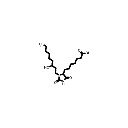 CCCCCCC(O)CCN1C(=O)NC(=O)C1CCCCCCC(=O)O